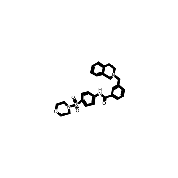 O=C(Nc1ccc(S(=O)(=O)N2CCOCC2)cc1)c1cccc(CN2CCc3ccccc3C2)c1